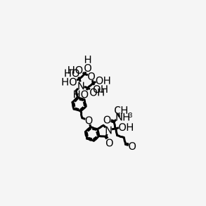 CNC(=O)C(O)(CCC=O)N1Cc2c(OCc3ccc(CN4C(O)(O)C(O)(O)OC(O)(O)C4(O)O)cc3)cccc2C1=O